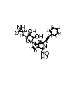 CONc1nc(C#Cc2ccccc2)nc2c1ncn2[C@@H]1O[C@@H](CCC(N)=O)[C@H](O)[C@H]1O